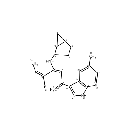 C=C(/C=C(NC1CCC2CC21)\C(F)=C/C)c1n[nH]c2ncc(C)cc12